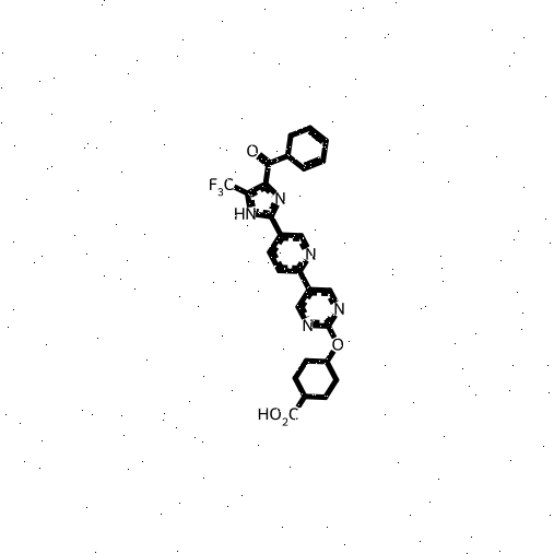 O=C(c1nc(-c2ccc(-c3cnc(OC4CCC(C(=O)O)CC4)nc3)nc2)[nH]c1C(F)(F)F)C1C=CC=CC1